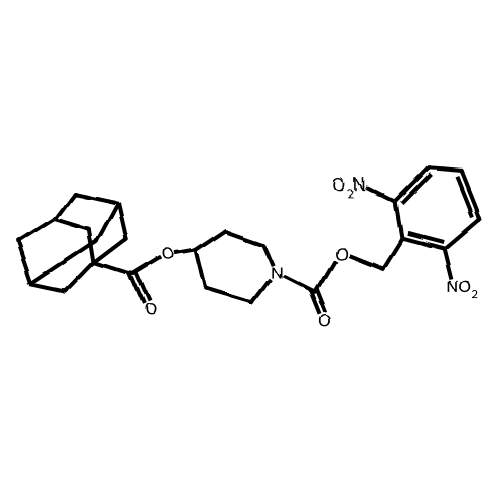 O=C(OCc1c([N+](=O)[O-])cccc1[N+](=O)[O-])N1CCC(OC(=O)C23CC4CC(CC(C4)C2)C3)CC1